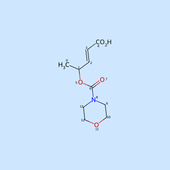 CC(C=CC(=O)O)OC(=O)N1CCOCC1